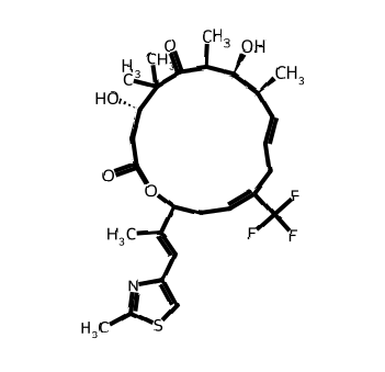 C/C(=C\c1csc(C)n1)C1C/C=C(/C(F)(F)F)C/C=C/[C@H](C)[C@H](O)C(C)C(=O)C(C)(C)[C@@H](O)CC(=O)O1